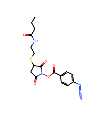 CCCC(=O)NCCSC1CC(=O)N(OC(=O)c2ccc(N=[N+]=[N-])cc2)C1=O